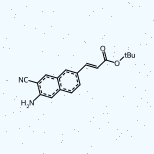 CC(C)(C)OC(=O)/C=C/c1ccc2cc(N)c(C#N)cc2c1